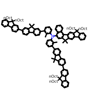 CCCCCCCCC1(CCCCCCCC)c2ccccc2-c2ccc(-c3ccc4c(c3)C(C)(C)c3cc(-c5cccc(N(c6cccc(-c7ccc8c(c7)C(C)(C)c7cc(-c9ccc%10c(c9)C(CCCCCCCC)(CCCCCCCC)c9ccccc9-%10)ccc7-8)c6C)c6cc7c(c8ccccc68)-c6cc8c(cc6C7(C)C)-c6ccccc6C8(CCCCCCCC)CCCCCCCC)c5C)ccc3-4)cc21